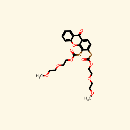 COCCOCCOC(=O)Sc1ccc2c(=O)c3ccccc3oc2c1SC(=O)OCCOCCOC